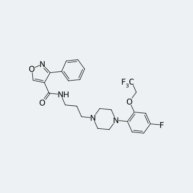 O=C(NCCCN1CCN(c2ccc(F)cc2OCC(F)(F)F)CC1)c1conc1-c1ccccc1